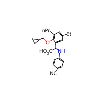 CCCc1cc(CC)cc(C(Nc2ccc(C#N)cc2)C(=O)O)c1OCC1CC1